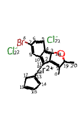 CC1=C2C(=c3ccc(Br)cc3=[C]2[Zr+2][C]2=CC=CC2)OC1C.[Cl-].[Cl-]